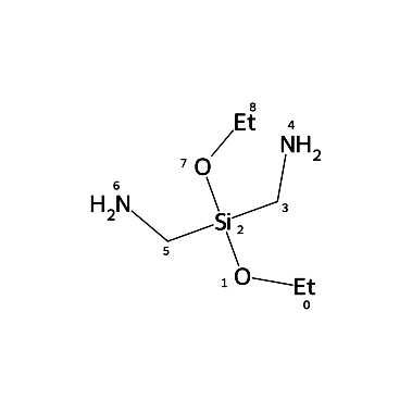 CCO[Si](CN)(CN)OCC